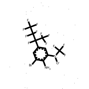 Nc1c(Br)cc(C(F)(C(F)(F)F)C(F)(F)C(F)(F)F)cc1[S+]([O-])C(F)(F)F